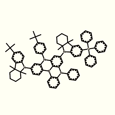 CC(C)(C)c1ccc(N2c3cc(N4c5ccc(C(C)(C)C)cc5C5(C)CCCCC45C)ccc3B3c4ccccc4N(c4ccccc4)c4cc(N5c6ccc([Si](c7ccccc7)(c7ccccc7)c7ccccc7)cc6C6(C)CCCCC56C)cc2c43)cc1